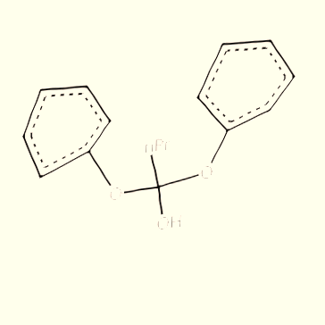 CCCC(O)(Oc1ccccc1)Oc1ccccc1